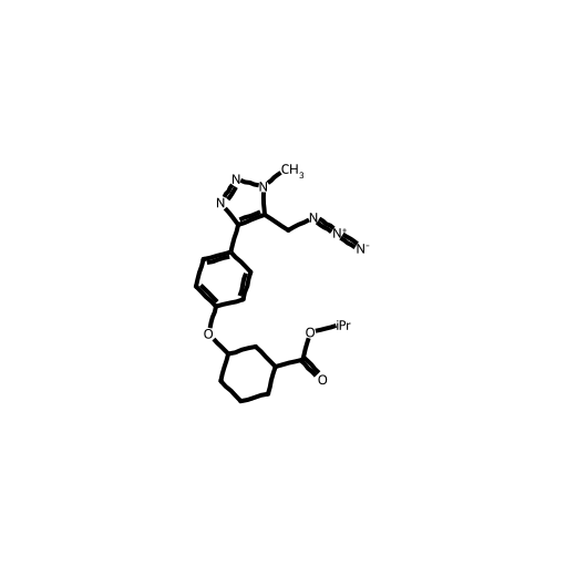 CC(C)OC(=O)C1CCCC(Oc2ccc(-c3nnn(C)c3CN=[N+]=[N-])cc2)C1